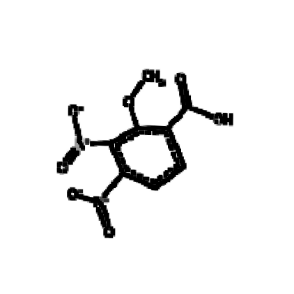 COc1c(C(=O)O)ccc([N+](=O)[O-])c1[N+](=O)[O-]